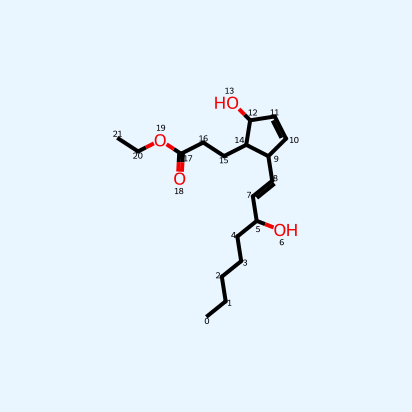 CCCCCC(O)C=CC1C=CC(O)C1CCC(=O)OCC